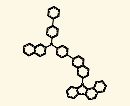 c1ccc(-c2ccc(N(c3ccc(-c4ccc5ccc(-n6c7ccccc7c7ccc8ccccc8c76)cc5c4)cc3)c3ccc4ccccc4c3)cc2)cc1